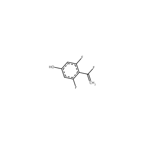 C=C(F)c1c(F)cc(O)cc1F